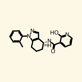 Cc1ccccc1-n1ncc2c1CCC[C@H]2NC(=O)c1cccnc1O